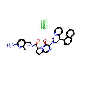 Cc1nc(N)ccc1CNC(=O)[C@@H]1CCc2cnc(NC[C@@H](c3ccccn3)c3cccc4ccccc34)c(=O)n21.Cl.Cl.Cl